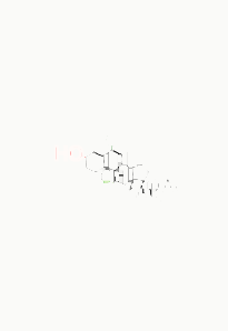 CC(=O)O[C@]1(C(C)=O)CC[C@H]2[C@@H]3C=C(Cl)C4=CC(O)CC[C@]4(C)[C@H]3C(F)C[C@@]21C